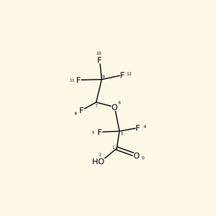 O=C(O)C(F)(F)OC(F)C(F)(F)F